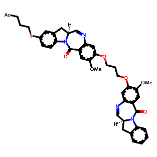 COc1cc2c(cc1OCCCOc1cc3c(cc1OC)C(=O)N1c4ccc(SCCCC(C)=O)cc4C[C@H]1C=N3)N=C[C@@H]1Cc3ccccc3N1C2=O